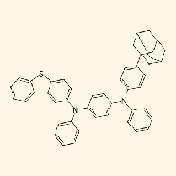 c1ccc(N(c2ccc(N(c3ccccc3)c3ccc4sc5ccccc5c4c3)cc2)c2ccc(C34CC5CC(CC(C5)C3)C4)cc2)cc1